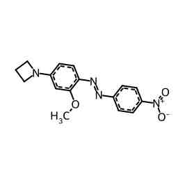 COc1cc(N2CCC2)ccc1N=Nc1ccc([N+](=O)[O-])cc1